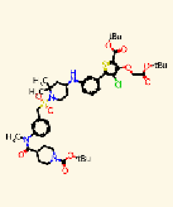 CN(C(=O)C1CCN(C(=O)OC(C)(C)C)CC1)c1cccc(CS(=O)(=O)N2CCC(Nc3cccc(-c4sc(C(=O)OC(C)(C)C)c(OCC(=O)OC(C)(C)C)c4Cl)c3)CC2(C)C)c1